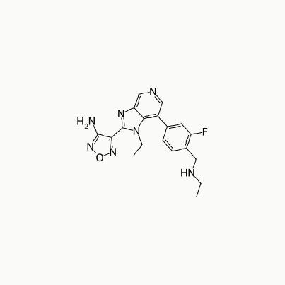 CCNCc1ccc(-c2cncc3nc(-c4nonc4N)n(CC)c23)cc1F